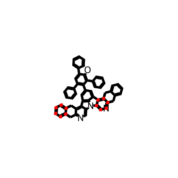 c1ccc(-c2cc3c(oc4ccccc43)c(-c3ccccc3)c2-c2cc3c4c5c(ncc4n4c6cnc7c(c6c(c2)c34)C2c3ccccc3C7c3ccccc32)C2c3ccccc3C5c3ccccc32)cc1